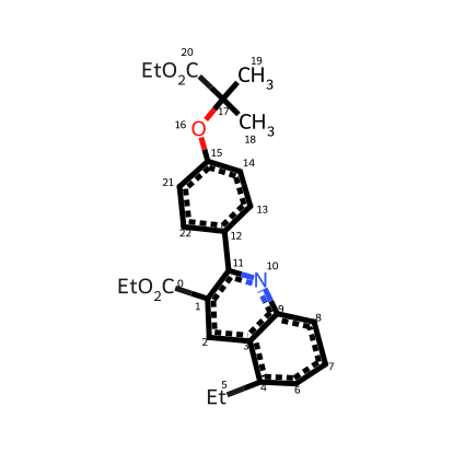 CCOC(=O)c1cc2c(CC)cccc2nc1-c1ccc(OC(C)(C)C(=O)OCC)cc1